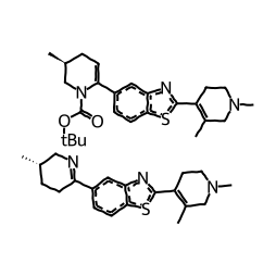 CC1=C(c2nc3cc(C4=CC[C@H](C)CN4C(=O)OC(C)(C)C)ccc3s2)CCN(C)C1.CC1=C(c2nc3cc(C4=NC[C@@H](C)CC4)ccc3s2)CCN(C)C1